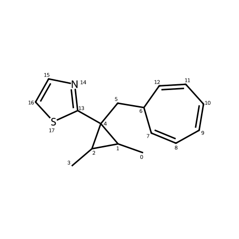 CC1C(C)C1(CC1C=CC=CC=C1)c1nccs1